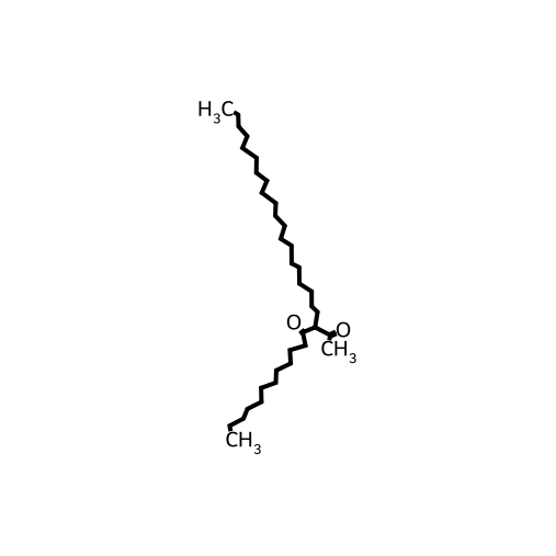 CCCCCCCCCCCCCCCCCCCCC(C(C)=O)C(=O)CCCCCCCCCCC